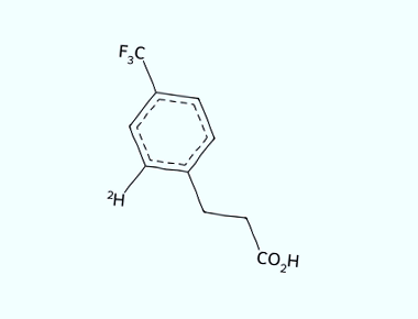 [2H]c1cc(C(F)(F)F)ccc1CCC(=O)O